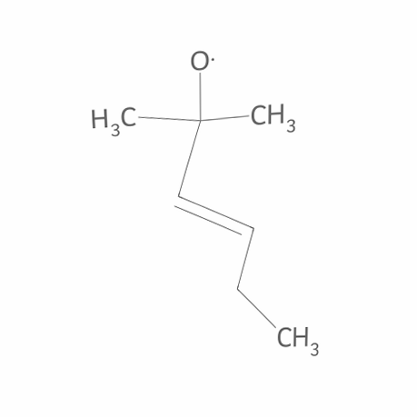 CCC=CC(C)(C)[O]